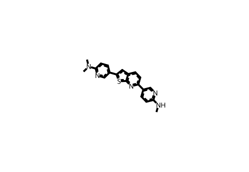 CNc1ccc(-c2ccc3cc(-c4ccc(N(C)C)nc4)sc3n2)cn1